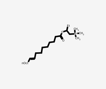 CCCCCCCC/C=C/CCCCCCCC(=O)OC(CC)C[N+](C)(C)C